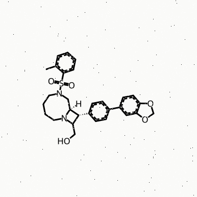 Cc1ccccc1S(=O)(=O)N1CCCCN2C(CO)[C@@H](c3ccc(-c4ccc5c(c4)OCO5)cc3)[C@@H]2C1